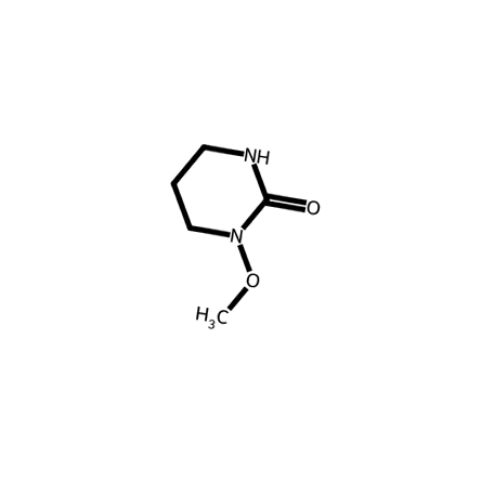 CON1CCCNC1=O